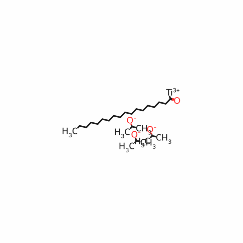 CC(C)[O-].CC(C)[O-].CC(C)[O-].CCCCCCCCCCCCCCCCC[C](=O)[Ti+3]